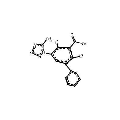 Cc1nnnn1-c1cc(-c2ccccc2)c(Cl)c(C(=O)O)c1F